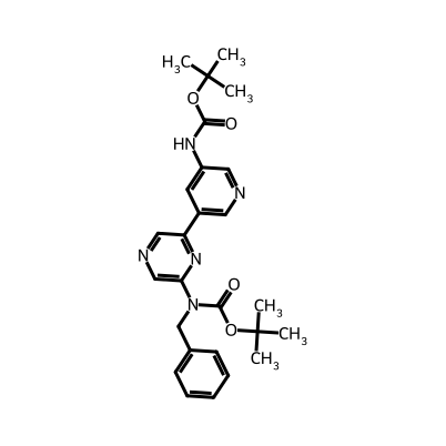 CC(C)(C)OC(=O)Nc1cncc(-c2cncc(N(Cc3ccccc3)C(=O)OC(C)(C)C)n2)c1